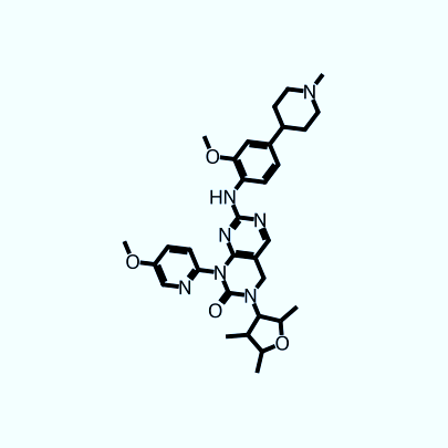 COc1ccc(N2C(=O)N(C3C(C)OC(C)C3C)Cc3cnc(Nc4ccc(C5CCN(C)CC5)cc4OC)nc32)nc1